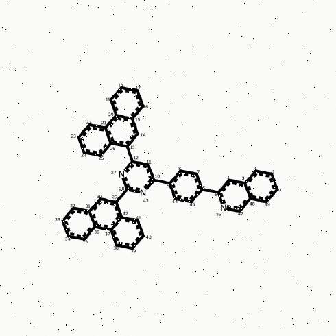 c1ccc2cc(-c3ccc(-c4cc(-c5cc6ccccc6c6ccccc56)nc(-c5cc6ccccc6c6ccccc56)n4)cc3)ncc2c1